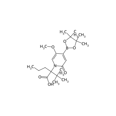 CCCC(C(=O)O)(n1cc(OC)c(B2OC(C)(C)C(C)(C)O2)cc1=O)C(C)(C)C